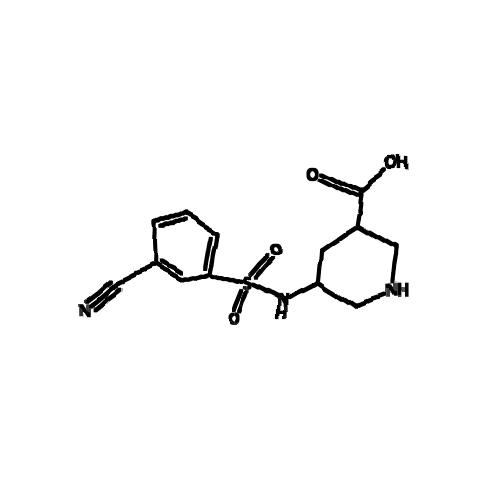 N#Cc1cccc(S(=O)(=O)NC2CNCC(C(=O)O)C2)c1